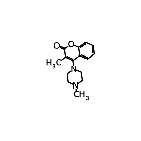 Cc1c(N2CCN(C)CC2)c2ccccc2oc1=O